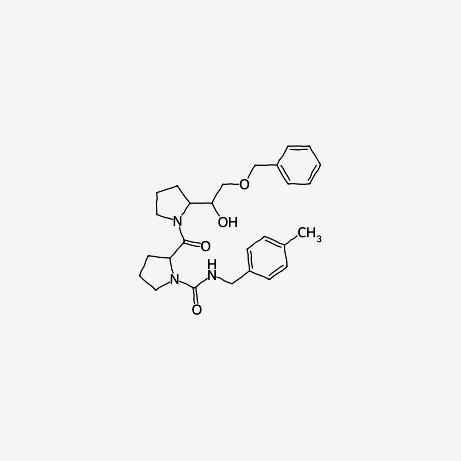 Cc1ccc(CNC(=O)N2CCCC2C(=O)N2CCCC2C(O)COCc2ccccc2)cc1